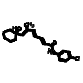 CC(C=CC=CC(=O)Nc1ccc(Cl)cc1)=CC1(O)CCCCC1